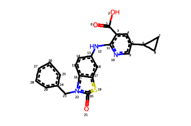 O=C(O)c1cc(C2CC2)cnc1Nc1ccc2c(c1)sc(=O)n2Cc1ccccc1